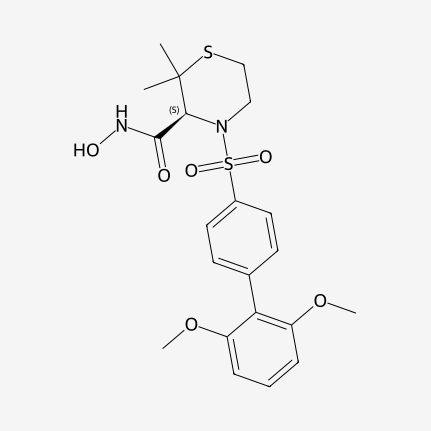 COc1cccc(OC)c1-c1ccc(S(=O)(=O)N2CCSC(C)(C)[C@@H]2C(=O)NO)cc1